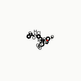 CS(=O)(=O)N1CCCN(C(O[C@H]2CC[C@H]([C]=O)CC2)(C(=O)Cc2cc(Cl)c(NC(=O)c3coc4ccccc34)cc2F)N2CCCC2)CC1